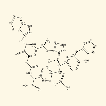 C[C@@H](O)[C@H](NC(=O)CNC(=O)[C@H](Cc1c[nH]c2ccccc12)NC(=O)[C@@H](N)Cc1c[nH]cn1)C(=O)N[C@@H](CC(=O)O)C(=O)N[C@@H](CO)C(=O)N[C@@H](Cc1ccccc1)C(=O)O